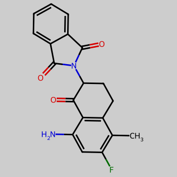 Cc1c(F)cc(N)c2c1CCC(N1C(=O)c3ccccc3C1=O)C2=O